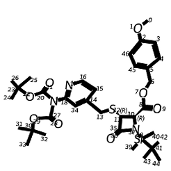 COc1ccc(COC(=O)[C@@H]2[C@@H](SCc3ccnc(N(C(=O)OC(C)(C)C)C(=O)OC(C)(C)C)c3)C(=O)N2[Si](C)(C)C(C)(C)C)cc1